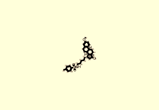 COc1ccc2c(c1)CC[C@H]1[C@@H]3[C@H](CCCCCNS(=O)(=O)c4ccc(C)cc4)CC(=O)[C@@]3(C)CC[C@H]21